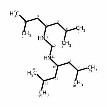 CC(C)CC(CC(C)C)NCNC(CC(C)C)CC(C)C